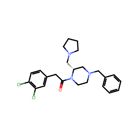 O=C(Cc1ccc(Cl)c(Cl)c1)N1CCN(Cc2ccccc2)C[C@H]1CN1CCCC1